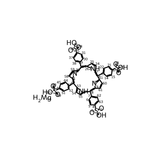 O=S(=O)(O)c1ccc(-c2c3nc(c(-c4ccc(S(=O)(=O)O)cc4)c4ccc([nH]4)c(-c4ccc(S(=O)(=O)O)cc4)c4nc(c(-c5ccc(S(=O)(=O)O)cc5)c5ccc2[nH]5)C=C4)C=C3)cc1.[MgH2]